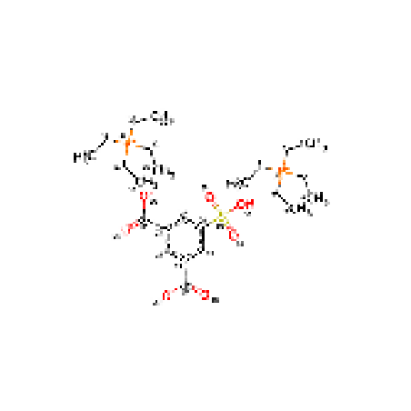 CC[P+](CC)(CC)CC.CC[P+](CC)(CC)CC.O=C([O-])c1cc(C(=O)[O-])cc(S(=O)(=O)O)c1